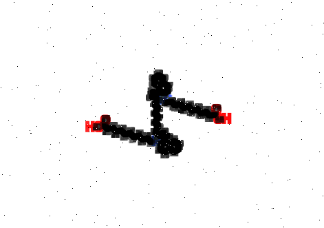 CC1(C)C(/C=C/C=C/C=C/C=C2/N(CCCCCCCCCCCC(=O)O)c3ccc4ccccc4c3C2(C)C)=[N+](CCCCCCCCCCCC(=O)O)c2ccc3ccccc3c21